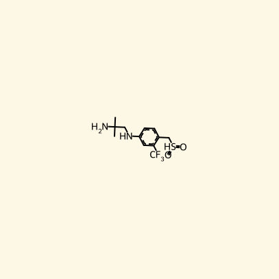 CC(C)(N)CNc1ccc(C[SH](=O)=O)c(C(F)(F)F)c1